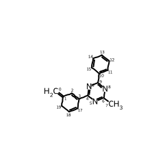 C=C1C=C(c2nc(C)nc(-c3ccccc3)n2)C=CC1